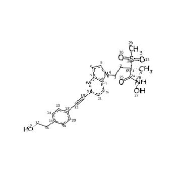 C[C@@](CCn1ccc2cc(C#Cc3ccc(CCO)cc3)ccc21)(C(=O)NO)S(C)(=O)=O